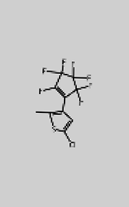 Cc1sc(Cl)cc1C1=C(F)C(F)(F)C(F)(F)C1(F)F